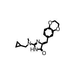 CN(CC1CC1)C1=NC(=Cc2ccc3c(c2)OCCO3)C(=O)N1